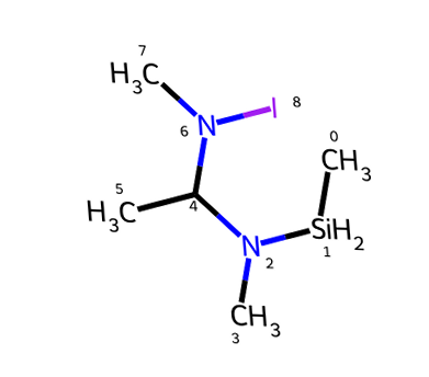 C[SiH2]N(C)C(C)N(C)I